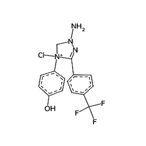 NN1C[N+](Cl)(c2ccc(O)cc2)C(c2ccc(C(F)(F)F)cc2)=N1